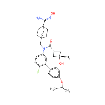 CC(C)Oc1ccc(-c2cc(N(CC34CCC(/C(N)=N/O)(CC3)CC4)C(=O)[C@H]3C[C@@](C)(O)C3)ccc2F)cc1